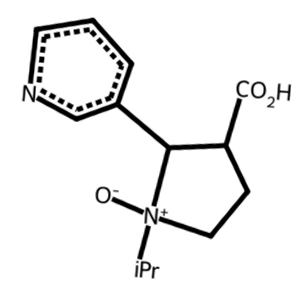 CC(C)[N+]1([O-])CCC(C(=O)O)C1c1cccnc1